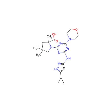 CC1(C)CN(c2nc(Nc3cc(C4CC4)[nH]n3)nc(N3CCOCC3)n2)C(C)(C(=O)O)C1